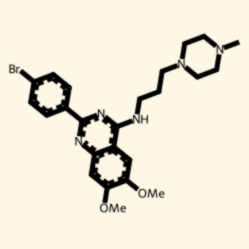 COc1cc2nc(-c3ccc(Br)cc3)nc(NCCCN3CCN(C)CC3)c2cc1OC